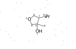 CC(C)C1COCC1(C)O